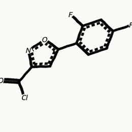 O=C(Cl)c1cc(-c2ccc(F)cc2F)on1